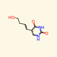 O=c1[nH]cc(C=CCCO)c(=O)[nH]1